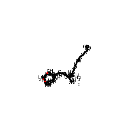 C=C1C2C[C@@H]3O[C@H](C[C@H](O)CNC(=O)OCc4ccc(NC(=O)[C@H](CCCNC(N)=O)NC(=O)C(NC(=O)CCOCCOCCOCCn5cc(COCCOCCOCCC(=O)ON6C(=O)CCC6=O)nn5)C(C)C)cc4)C[C@H]3CC(=O)C[C@H]3CC[C@@H]4OC5[C@H]6O[C@]7(CC[C@H]8CC(=C)[C@H](CC[C@@H](C[C@H]1C)O2)O8)C[C@H]6O[C@H]5[C@@H](O7)C4O3